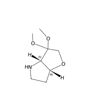 COC1(OC)CO[C@@H]2CCN[C@@H]21